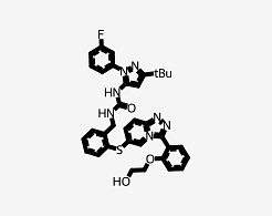 CC(C)(C)c1cc(NC(=O)NCc2ccccc2Sc2ccc3nnc(-c4ccccc4OCCO)n3c2)n(-c2cccc(F)c2)n1